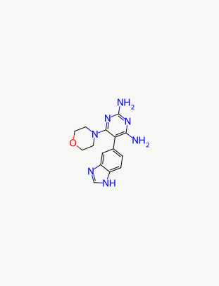 Nc1nc(N)c(-c2ccc3[nH]cnc3c2)c(N2CCOCC2)n1